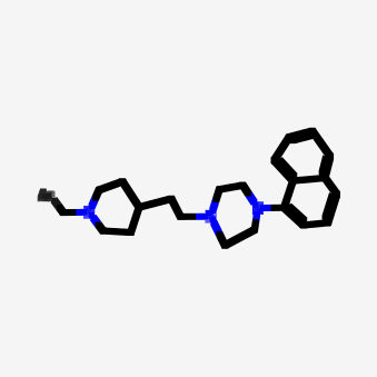 CC(=O)CN1CCC(CCN2CCN(c3cccc4ccccc34)CC2)CC1